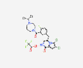 CCC(CC)N1CCCN(C(=O)c2cc(Cc3c[nH]c(=O)c4cc(Cl)c(Cl)n34)ccc2F)CC1.O=C(O)C(F)(F)F